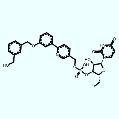 CC[C@H]1O[C@@H](n2ccc(=O)[nH]c2=O)[C@H](O)[C@@H]1OP(=O)(O)OCc1ccc(-c2cccc(OCc3cccc(CO)c3)c2)nc1